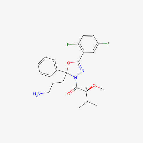 CO[C@H](C(=O)N1N=C(c2cc(F)ccc2F)OC1(CCCN)c1ccccc1)C(C)C